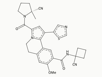 COc1cc2c(cc1C(=O)NC1(C#N)CCC1)-c1c(-c3cncs3)cc(C(=O)N3CCC[C@]3(C)C#N)n1CC2